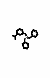 CC(C)c1cccc(CN(Cc2ccccc2)Cc2ccccc2)c1